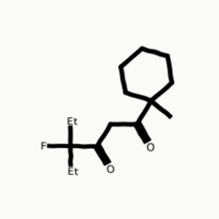 CCC(F)(CC)C(=O)CC(=O)C1(C)CCCCC1